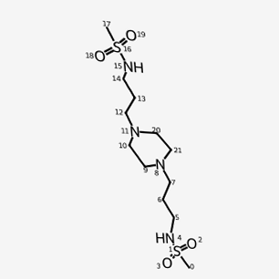 CS(=O)(=O)NCCCN1CCN(CCCNS(C)(=O)=O)CC1